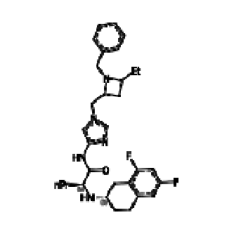 CCC[C@H](N[C@H]1CCc2cc(F)cc(F)c2C1)C(=O)Nc1cn(CC2CC(CC)N2Cc2ccccc2)cn1